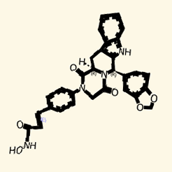 O=C(/C=C/c1ccc(N2CC(=O)N3[C@H](c4ccc5c(c4)OCO5)c4[nH]c5ccccc5c4C[C@@H]3C2=O)cc1)NO